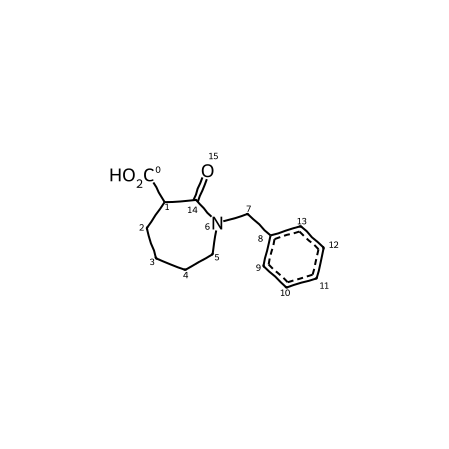 O=C(O)C1CCCCN(Cc2ccccc2)C1=O